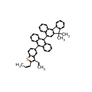 C=Cc1c(/C=C\C)sc2ccc(-c3c4ccccc4c(-c4cc5c(c6ccccc46)-c4ccccc4C5(C)C)c4ccccc34)cc12